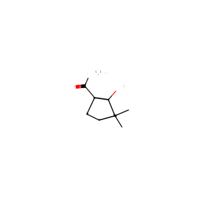 COC(=O)C1CCC(C)(C)C1O